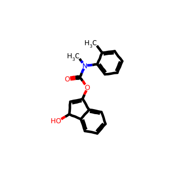 Cc1ccccc1N(C)C(=O)OC1=CC(O)c2ccccc21